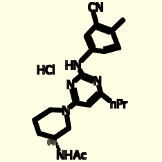 CCCc1cc(N2CCC[C@@H](NC(C)=O)C2)nc(Nc2ccc(C)c(C#N)c2)n1.Cl